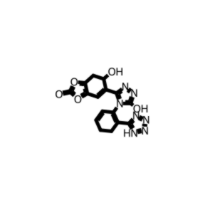 O=c1oc2c(o1)CC(O)C(c1nnc(O)n1C1=C(c3nnn[nH]3)CCC=C1)=C2